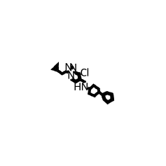 Clc1c(CNC2CCC(c3ccccc3)CC2)ccn2c(CC3CC3)nnc12